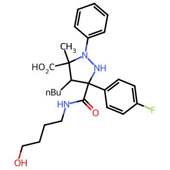 CCCCC1C(C(=O)NCCCCO)(c2ccc(F)cc2)NN(c2ccccc2)C1(C)C(=O)O